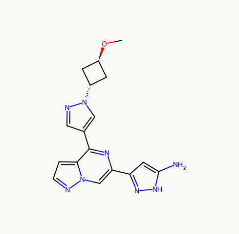 CO[C@H]1C[C@H](n2cc(-c3nc(-c4cc(N)[nH]n4)cn4nccc34)cn2)C1